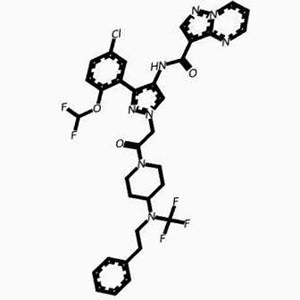 O=C(Nc1cn(CC(=O)N2CCC(N(CCc3ccccc3)C(F)(F)F)CC2)nc1-c1cc(Cl)ccc1OC(F)F)c1cnn2cccnc12